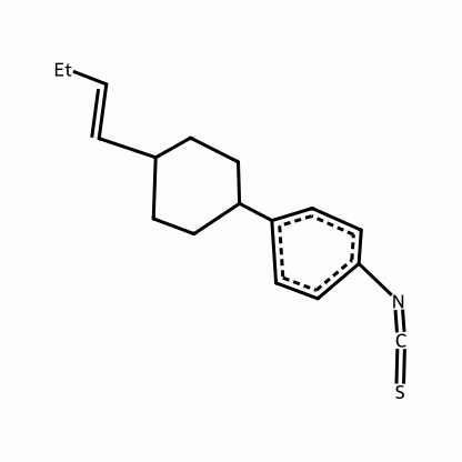 CC/C=C/C1CCC(c2ccc(N=C=S)cc2)CC1